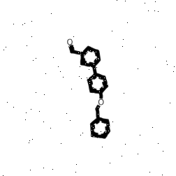 O=Cc1cccc(-c2ccc(OCc3ccccc3)cc2)c1